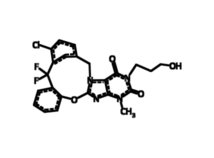 Cn1c(=O)n(CCCO)c(=O)c2c1nc1n2Cc2ccc(Cl)c(c2)C(F)(F)c2ccccc2O1